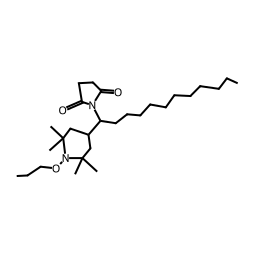 CCCCCCCCCCCC(C1CC(C)(C)N(OCCC)C(C)(C)C1)N1C(=O)CCC1=O